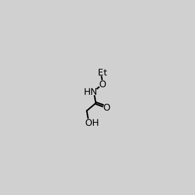 CCONC(=O)CO